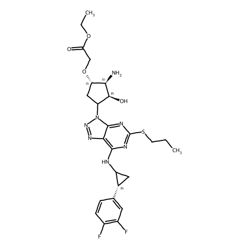 CCCSc1nc(NC2C[C@@H]2c2ccc(F)c(F)c2)c2nnn(C3C[C@H](OCC(=O)OCC)[C@@H](N)[C@H]3O)c2n1